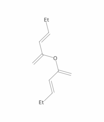 C=C(C=CCC)OC(=C)C=CCC